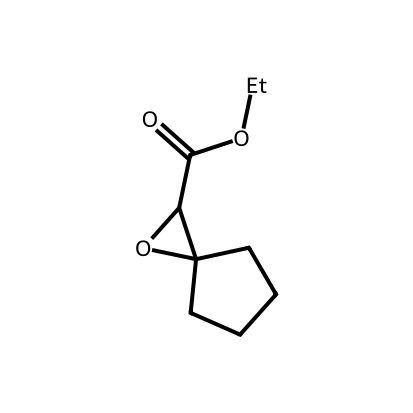 CCOC(=O)C1OC12CCCC2